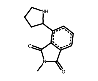 CN1C(=O)c2cccc(C3CCCN3)c2C1=O